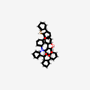 c1cc(-c2cccc3c2sc2ccccc23)cc(N(c2ccccc2-c2cc3ccccc3c3ccccc23)c2cccc3oc4ccccc4c23)c1